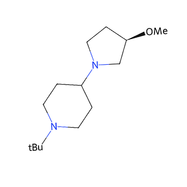 CO[C@@H]1CCN(C2CCN(C(C)(C)C)CC2)C1